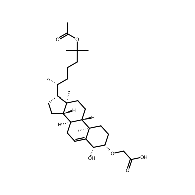 CC(=O)OC(C)(C)CCC[C@@H](C)[C@H]1CC[C@H]2[C@@H]3CC=C4[C@@H](O)[C@@H](OCC(=O)O)CC[C@]4(C)[C@H]3CC[C@]12C